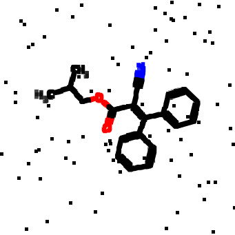 CC(C)COC(=O)C(C#N)=C(c1ccccc1)c1ccccc1